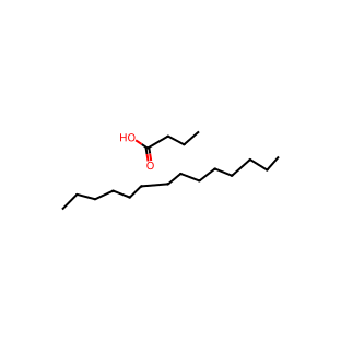 CCCC(=O)O.CCCCCCCCCCCCCC